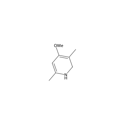 COC1=C(C)CNC(C)=C1